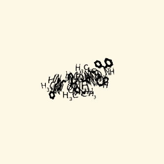 CC[C@H](N)C(=O)N[C@@H]1C(=O)N2[C@H](CNC(c3ccccc3)c3ccccc3)CC[C@@H]2C=C[C@@H]1Cn1cc(CO[C@H](C)[C@H](NC(=O)[C@H](C)NC)C(=O)N2CCC[C@H]2CCN(N=N)C(=N)[C@@H](C)Sc2ccccc2)nn1